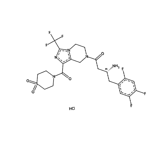 Cl.N[C@@H](CC(=O)N1CCn2c(C(F)(F)F)nc(C(=O)N3CCS(=O)(=O)CC3)c2C1)Cc1cc(F)c(F)cc1F